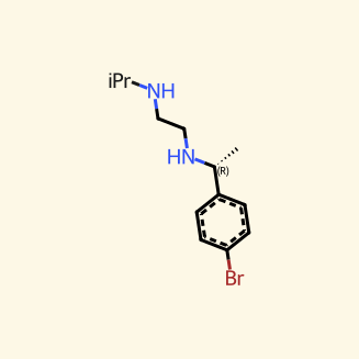 CC(C)NCCN[C@H](C)c1ccc(Br)cc1